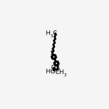 CCCCCCCCCCSc1ccc(-c2ccc(S[C@H](C)C(=O)O)cc2)cc1